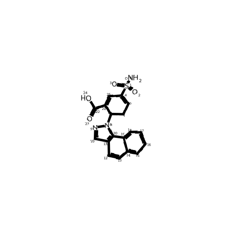 NS(=O)(=O)C1=CCC(n2ncc3ccc4ccccc4c32)C(C(=O)O)=C1